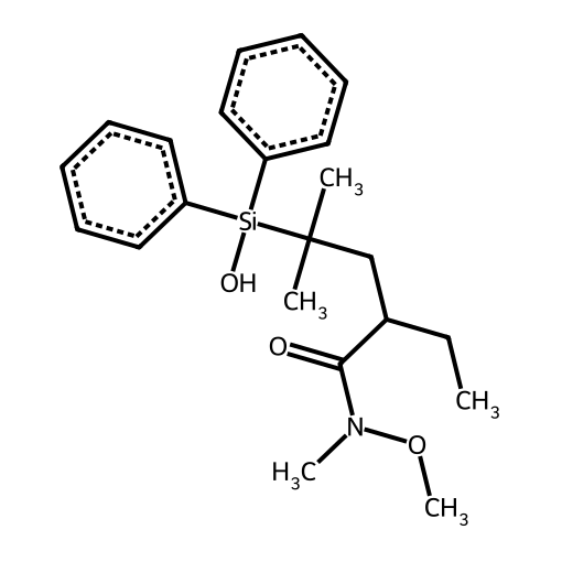 CCC(CC(C)(C)[Si](O)(c1ccccc1)c1ccccc1)C(=O)N(C)OC